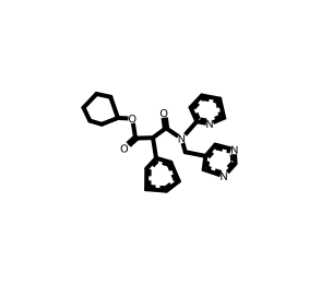 O=C(OC1CCCCC1)C(C(=O)N(Cc1cncnc1)c1ccccn1)c1ccccc1